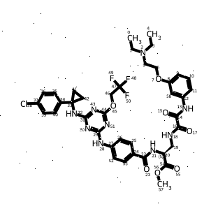 CCN(CC)CCOc1cccc(NC(=O)C(=O)NC[C@H](NC(=O)c2ccc(Nc3nc(NC4(c5ccc(Cl)cc5)CC4)nc(OCC(F)(F)F)n3)cc2)C(=O)OC)c1